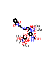 CN(C(=O)OC(C)(C)C)[C@@H]1[C@@H](O)[C@@H](O[C@H]2[C@H](NC(=O)CO)C[C@H](NC(=O)OC(C)(C)C)C([C@H]3OC(CNCCCN4C(=O)c5ccccc5C4=O)=CC[C@H]3NC(=O)OC(C)(C)C)[C@@H]2O)OC[C@]1(C)O